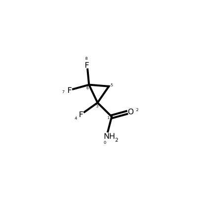 NC(=O)C1(F)CC1(F)F